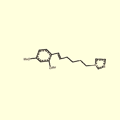 COc1ccc(C=CCCCCn2ccnc2)c(OC)c1